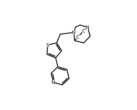 c1cncc(-c2csc(CN3CCN4CCC3CC4)c2)c1